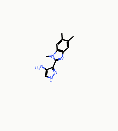 Cc1cc2nc(-c3n[nH]cc3N)n(C)c2cc1C